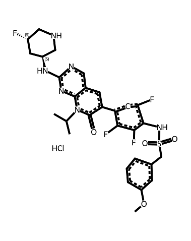 COc1cccc(CS(=O)(=O)Nc2c(F)cc(-c3cc4cnc(N[C@@H]5CNC[C@@H](F)C5)nc4n(C(C)C)c3=O)c(F)c2F)c1.Cl